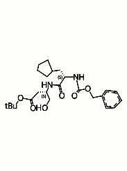 CC(C)(C)OC(=O)C[C@@H](CO)NC(=O)[C@H](CC1CCCC1)NC(=O)OCc1ccccc1